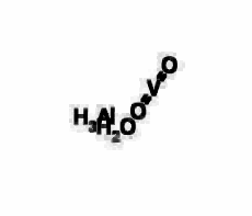 O.[AlH3].[O]=[V]=[O]